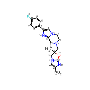 CC1(CN2CCn3cc(-c4ccc(F)cc4)nc3C2)Cn2cc([N+](=O)[O-])nc2O1